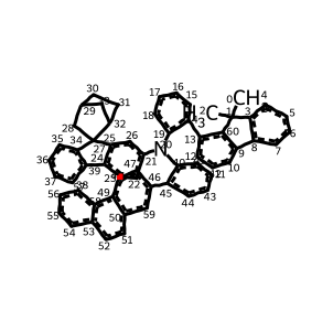 CC1(C)c2ccccc2-c2cccc(-c3ccccc3N(c3ccc4c(c3)C3(CC5CCC3C5)c3ccccc3-4)c3ccccc3-c3ccc4c(ccc5ccccc54)c3)c21